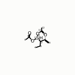 C=CC(CC)[SiH](OC(C)=O)OC(C)=O